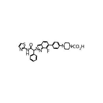 O=C(Nc1nccs1)C(c1ccccc1)n1cc2ccc(-c3ccc(N4CCN(C(=O)O)CC4)cc3)c(F)c2n1